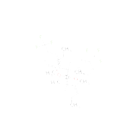 CC1=C[C](C)([Zr]([O]c2ccc(C(F)(F)F)cc2)([O]c2ccc(C(F)(F)F)cc2)[C]2(C)C=C(C)C=C2C)C(C)=C1